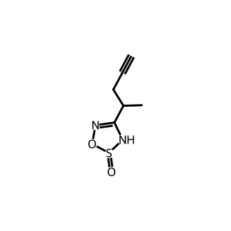 C#CCC(C)C1=NOS(=O)N1